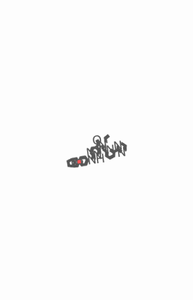 C=CCn1c(=O)c2cnc(Nc3ccc(N4C5CCC4CN(C)C5)cc3)nc2n1-c1cccc(-c2ncccn2)n1